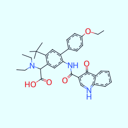 CCOc1ccc(-c2cc(C(C)(C)C)c(C(C(=O)O)N(CC)CC)cc2NC(=O)c2c[nH]c3ccccc3c2=O)cc1